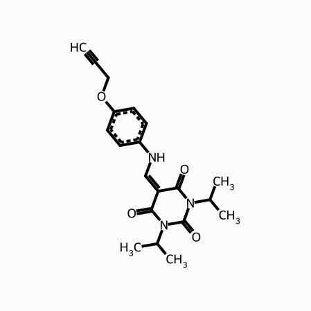 C#CCOc1ccc(NC=C2C(=O)N(C(C)C)C(=O)N(C(C)C)C2=O)cc1